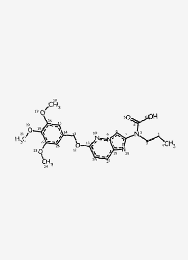 CCCN(C(=O)O)c1cn2nc(OCc3cc(OC)c(OC)c(OC)c3)ccc2n1